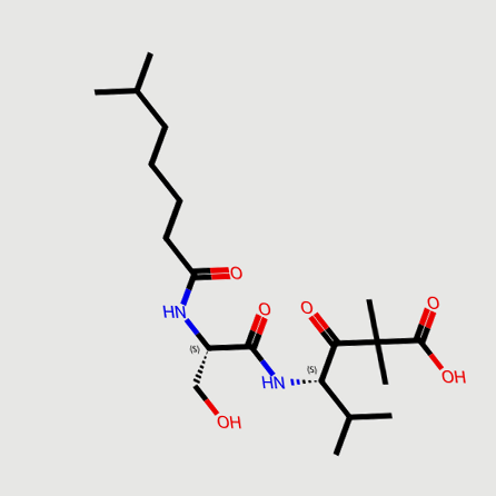 CC(C)CCCCC(=O)N[C@@H](CO)C(=O)N[C@H](C(=O)C(C)(C)C(=O)O)C(C)C